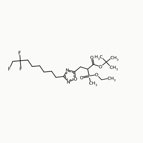 CCOP(C)(=O)C(Cc1nc(CCCCCCC(F)(F)CF)no1)C(=O)OC(C)(C)C